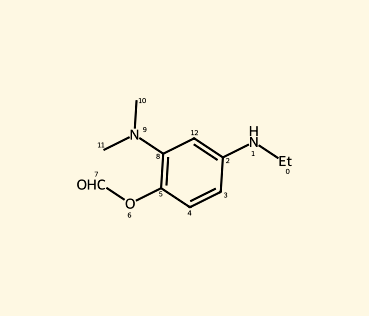 CCNc1ccc(OC=O)c(N(C)C)c1